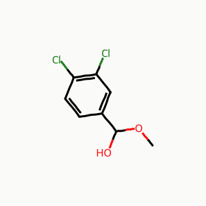 COC(O)c1ccc(Cl)c(Cl)c1